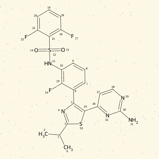 CC(C)c1nc(-c2cccc(NS(=O)(=O)c3c(F)cccc3F)c2F)c(-c2ccnc(N)n2)s1